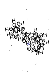 CN(OC(=O)/C=C/C(=O)ON(C)C(=N)NCC(=O)N1[C@H](CO)[C@H](O)[C@H](O)[C@H](O)[C@H]1CO)C(=N)NCC(=O)N1[C@H](CO)[C@H](O)[C@H](O)[C@H](O)[C@H]1CO